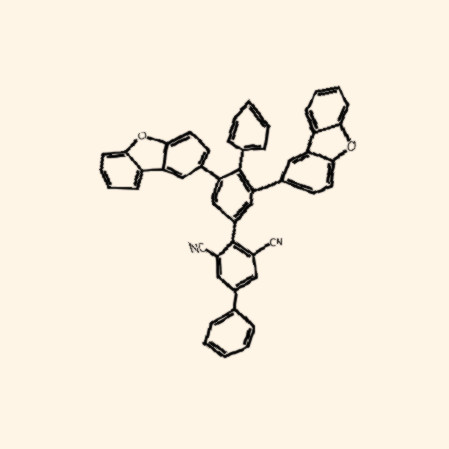 N#Cc1cc(-c2ccccc2)cc(C#N)c1-c1cc(-c2ccc3oc4ccccc4c3c2)c(-c2ccccc2)c(-c2ccc3oc4ccccc4c3c2)c1